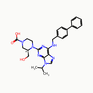 CC(C)n1cnc2c(NCc3ccc(-c4ccccc4)cc3)nc(N3CCN(C(=O)O)C[C@@H]3CO)nc21